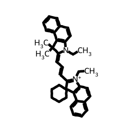 CCN1C(=CC=CC2=[N+](CC)c3ccc4ccccc4c3C23CCCCC3)C(C)(C)c2c1ccc1ccccc21